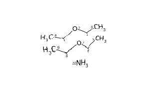 CCOCC.CCOCC.N